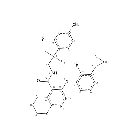 Cc1ccc(C(F)(F)CNC(=O)c2c(Oc3cccc(C4CC4)c3F)nnc3c2CCCC3)c(Cl)c1